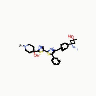 CC(=O)N1CCC(O)(c2ncc(-c3nc(-c4ccc(C5(N)CC(C)(O)C5)cc4)c(-c4ccccc4)s3)s2)CC1